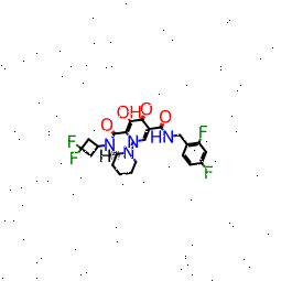 O=C(NCc1ccc(F)cc1F)c1cn2c(c(O)c1=O)C(=O)N(C1CC(F)(F)C1)[C@@H]1CCCCN12